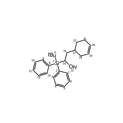 CC(C)(C)[Si](c1ccccc1)(c1ccccc1)C(O)CC1CC=CCC1